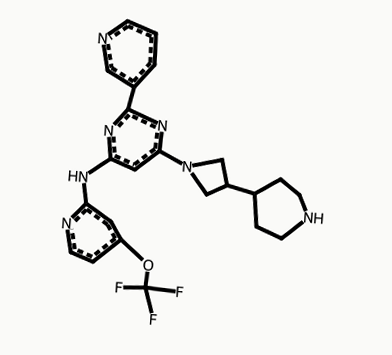 FC(F)(F)Oc1ccnc(Nc2cc(N3CC(C4CCNCC4)C3)nc(-c3cccnc3)n2)c1